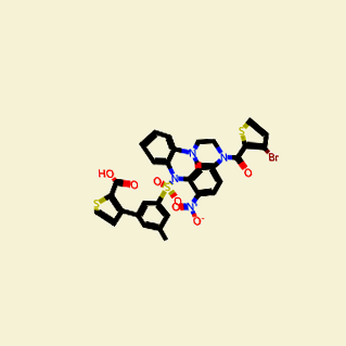 Cc1cc(-c2ccsc2C(=O)O)cc(S(=O)(=O)N(c2ccccc2N2CCN(C(=O)c3sccc3Br)CC2)c2ccccc2[N+](=O)[O-])c1